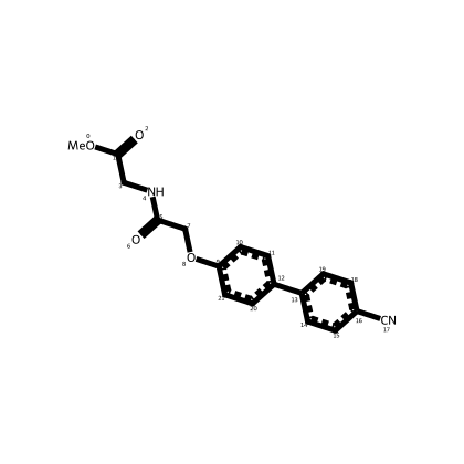 COC(=O)CNC(=O)COc1ccc(-c2ccc(C#N)cc2)cc1